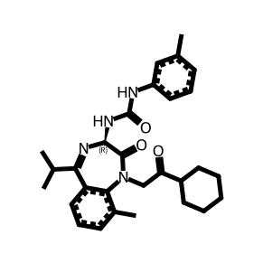 Cc1cccc(NC(=O)N[C@@H]2N=C(C(C)C)c3cccc(C)c3N(CC(=O)C3CCCCC3)C2=O)c1